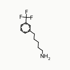 NCCCCCc1cccc(C(F)(F)F)c1